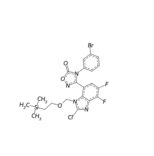 C[Si](C)(C)CCOCn1c(Cl)nc2c(F)c(F)cc(-c3noc(=O)n3-c3cccc(Br)c3)c21